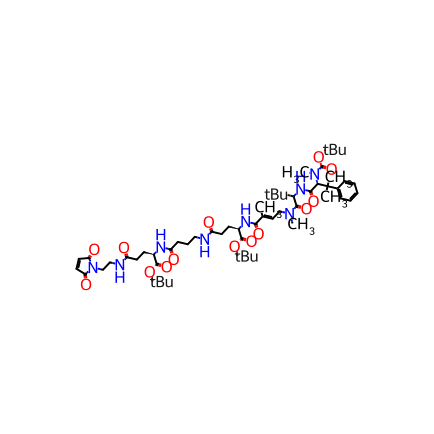 C/C(=C\CN(C)C(=O)C(NC(=O)[C@@H](N(C)C(=O)OC(C)(C)C)C(C)(C)c1ccccc1)C(C)(C)C)C(=O)N[C@H](CCC(=O)NCCCC(=O)N[C@H](CCC(=O)NCCN1C(=O)C=CC1=O)C(=O)OC(C)(C)C)C(=O)OC(C)(C)C